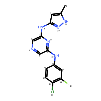 Cc1cc(Nc2cncc(Nc3ccc(Cl)c(F)c3)n2)n[nH]1